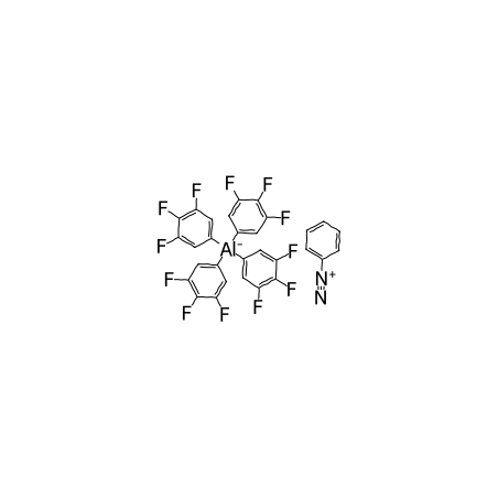 Fc1c[c]([Al-]([c]2cc(F)c(F)c(F)c2)([c]2cc(F)c(F)c(F)c2)[c]2cc(F)c(F)c(F)c2)cc(F)c1F.N#[N+]c1ccccc1